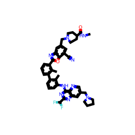 CNC(=O)C1CCN(Cc2cc(C#N)c3oc(-c4cccc(-c5cccc(Nc6nc(C(F)F)nc7cc(CN8CCCC8)cnc67)c5C)c4C)nc3c2)CC1